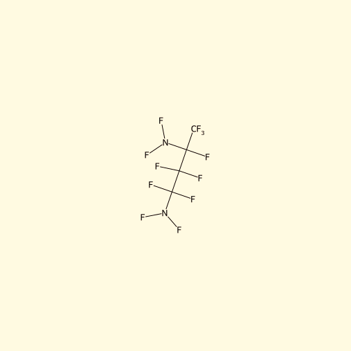 FN(F)C(F)(F)C(F)(F)C(F)(N(F)F)C(F)(F)F